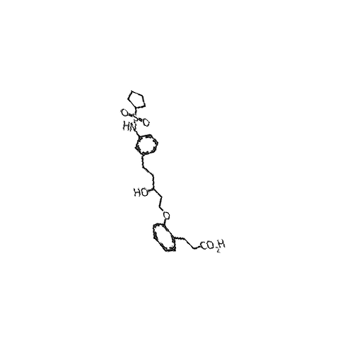 O=C(O)CCc1ccccc1OCCC(O)CCc1cccc(NS(=O)(=O)C2CCCC2)c1